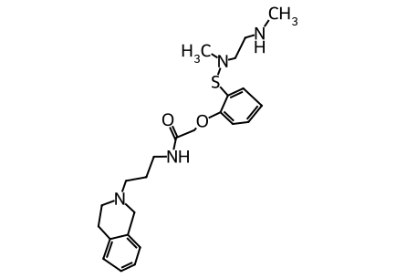 CNCCN(C)Sc1ccccc1OCC(=O)NCCCN1CCc2ccccc2C1